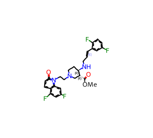 COC(=O)[C@@H]1CN(CCn2c(=O)ccc3c(F)cc(F)cc32)CC[C@H]1NC/C=C/c1cc(F)ccc1F